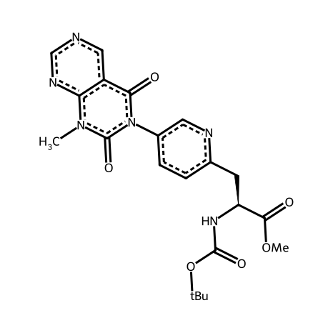 COC(=O)[C@H](Cc1ccc(-n2c(=O)c3cncnc3n(C)c2=O)cn1)NC(=O)OC(C)(C)C